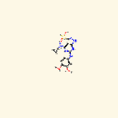 COc1ccc(Nc2nc(NC3CC3)c3c(S(C)(=O)=O)n[nH]c3n2)cc1OC